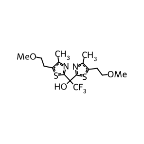 COCCc1sc(C(O)(c2nc(C)c(CCOC)s2)C(F)(F)F)nc1C